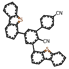 N#Cc1ccc(-c2cc(-c3cccc4c3sc3ccccc34)cc(-c3cccc4c3sc3ccccc34)c2C#N)cc1